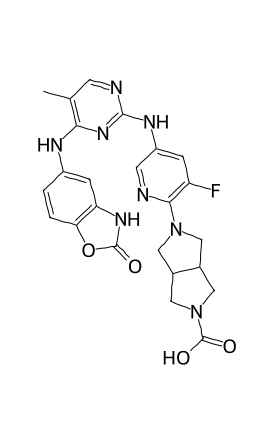 Cc1cnc(Nc2cnc(N3CC4CN(C(=O)O)CC4C3)c(F)c2)nc1Nc1ccc2oc(=O)[nH]c2c1